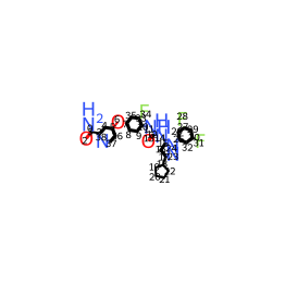 NC(=O)c1cc(Oc2ccc(NC(=O)Nc3cc(C4CCCC4)nn3-c3cc(F)cc(F)c3)c(F)c2)ccn1